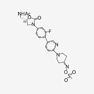 CC(=O)NC[C@H]1CN(c2ccc(-c3ccc(N4CCC(=NOS(C)(=O)=O)CC4)nc3)c(F)c2)C(=O)O1